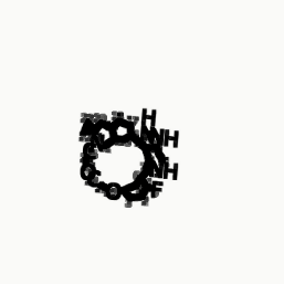 FC1CCC2CC1C1CC3C(CN1)NNC3C1CCC3CC4(CC4)N(CCOCCO2)CC3C1